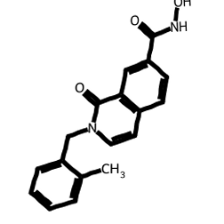 Cc1ccccc1Cn1ccc2ccc(C(=O)NO)cc2c1=O